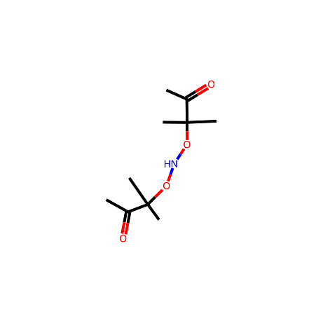 CC(=O)C(C)(C)ONOC(C)(C)C(C)=O